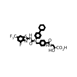 O=C(NC[C@@H](O)C(=O)O)c1ccc(CN(C(=O)Nc2nc3c(F)cc(C(F)(F)F)cc3s2)c2ccc(C3=CCCCC3)cc2)cc1